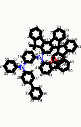 CC1(C)c2ccccc2-c2c3c(cc(N(c4cccc(N(c5ccccc5)c5ccc(-c6ccccc6)cc5)c4)c4cccc5c4oc4ccccc45)c21)C1(c2ccccc2-c2ccccc21)c1ccccc1-3